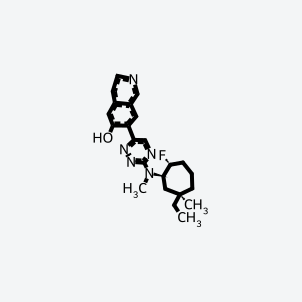 CC[C@]1(C)CCC[C@@H](F)[C@H](N(C)c2ncc(-c3cc4cnccc4cc3O)nn2)C1